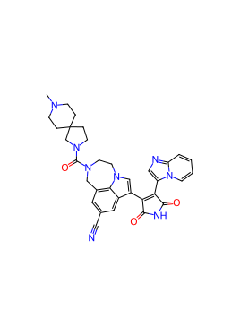 CN1CCC2(CC1)CCN(C(=O)N1CCn3cc(C4=C(c5cnc6ccccn56)C(=O)NC4=O)c4cc(C#N)cc(c43)C1)C2